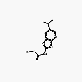 CB(C)c1ccc2oc(NC(=O)OC(C)(C)C)nc2c1